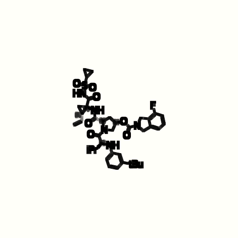 C=C[C@@H]1C[C@]1(NC(=O)[C@@H]1C[C@@H](OC(=O)N2Cc3cccc(F)c3C2)CN1C(=O)[C@@H](Nc1cccc(C(C)(C)C)c1)C(C)C)C(=O)NS(=O)(=O)C1CC1